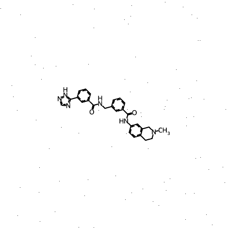 CN1CCc2ccc(NC(=O)c3cccc(CNC(=O)c4cccc(-c5ncn[nH]5)c4)c3)cc2C1